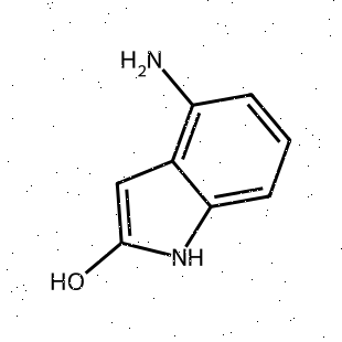 Nc1cccc2[nH]c(O)cc12